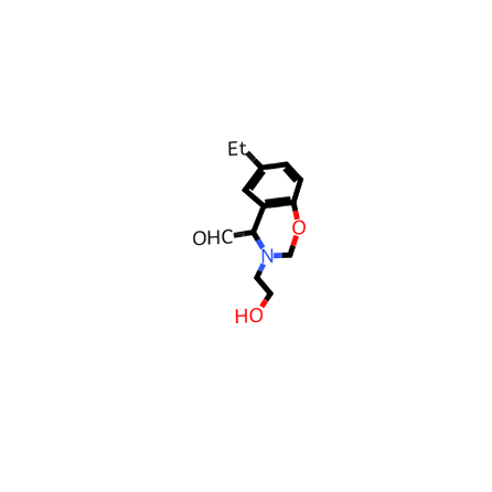 CCc1ccc2c(c1)C(C=O)N(CCO)CO2